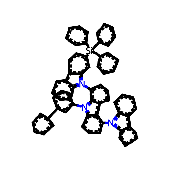 c1ccc(-c2cccc(-n3c4cccc(-n5c6ccccc6c6ccccc65)c4c4cccc(-n5c6ccccc6c6ccc([Si](c7ccccc7)(c7ccccc7)c7ccccc7)cc65)c43)c2)cc1